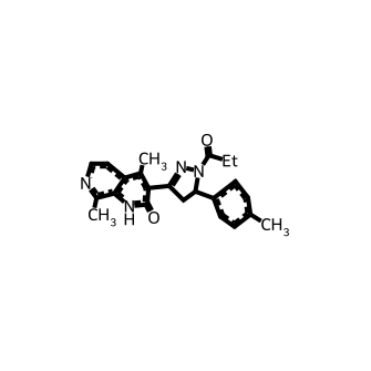 CCC(=O)N1N=C(c2c(C)c3ccnc(C)c3[nH]c2=O)CC1c1ccc(C)cc1